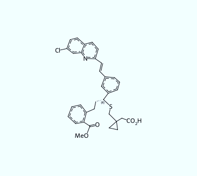 COC(=O)c1ccccc1CC[C@@H](SCC1(CC(=O)O)CC1)c1cccc(C=Cc2ccc3ccc(Cl)cc3n2)c1